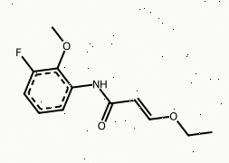 CCOC=CC(=O)Nc1cccc(F)c1OC